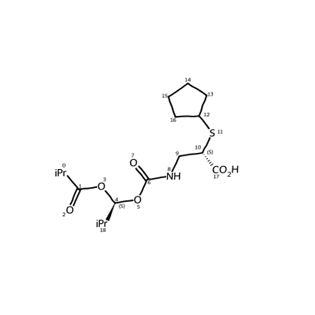 CC(C)C(=O)O[C@@H](OC(=O)NC[C@H](SC1CCCC1)C(=O)O)C(C)C